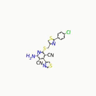 N#Cc1c(N)nc(SCc2csc(-c3ccc(Cl)cc3)n2)c(C#N)c1-c1cscn1